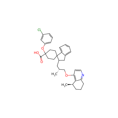 C[C@@H](COc1ccnc2c1[C@H](C)CCC2)CC1Cc2ccccc2C12CCC(Oc1cccc(Cl)c1)(C(=O)O)CC2